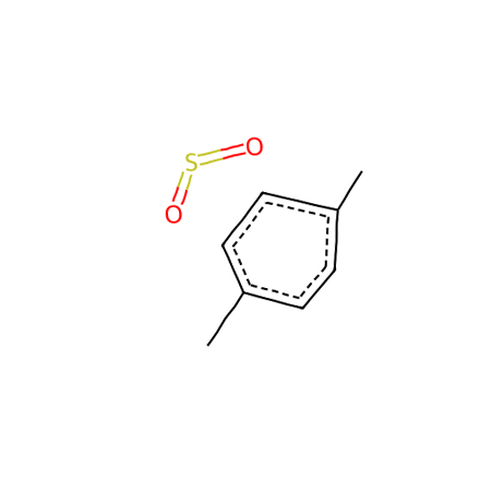 Cc1ccc(C)cc1.O=S=O